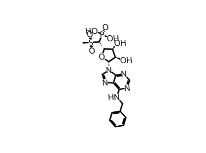 CS(=O)(=O)C([C@H]1O[C@@H](n2cnc3c(NCc4ccccc4)ncnc32)[C@H](O)[C@@H]1O)P(=O)(O)O